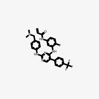 C=CC(=O)Nc1ccc(F)c(Nc2nc(Nc3ccc(CN(C)C)cc3)ncc2-c2ccc(C(F)(F)F)cc2)c1